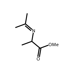 COC(=O)C(C)N=C(C)C